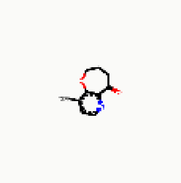 CC(C)(C)c1ccnc2c1OCCCC2=O